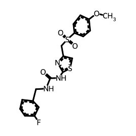 COc1ccc(S(=O)(=O)Cc2csc(NC(=O)NCc3cccc(F)c3)n2)cc1